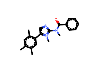 Cc1cc(C)c(-c2cnc(N(C)C(=O)c3ccccc3)n2C)cc1C